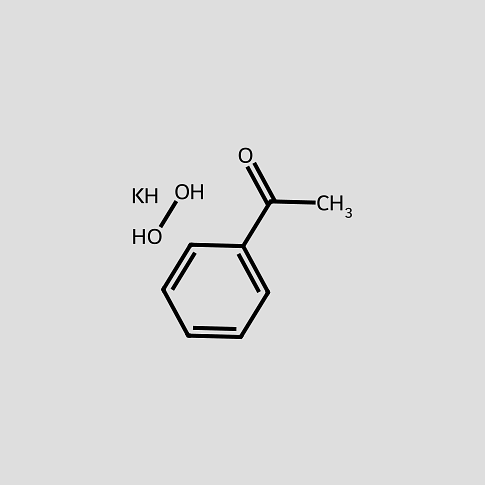 CC(=O)c1ccccc1.OO.[KH]